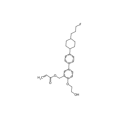 C=CC(=O)OCc1cc(-c2ccc(C3CCC(CCCF)CC3)cc2)ccc1OCCO